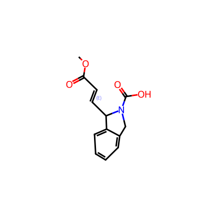 COC(=O)/C=C/C1c2ccccc2CN1C(=O)O